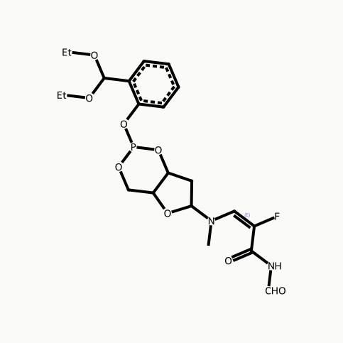 CCOC(OCC)c1ccccc1OP1OCC2OC(N(C)/C=C(/F)C(=O)NC=O)CC2O1